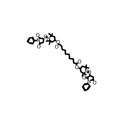 CC1(C)CC(OC(=O)CCCCCCCCC(=O)OC2CC(C)(C)N(OC3CC(=O)N(c4ccccc4)C3=O)C(C)(C)C2)CC(C)(C)N1OC1CC(=O)N(c2ccccc2)C1=O